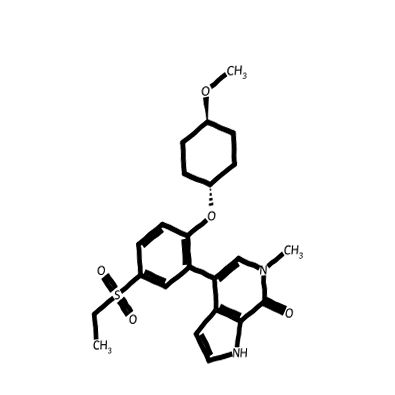 CCS(=O)(=O)c1ccc(O[C@H]2CC[C@H](OC)CC2)c(-c2cn(C)c(=O)c3[nH]ccc23)c1